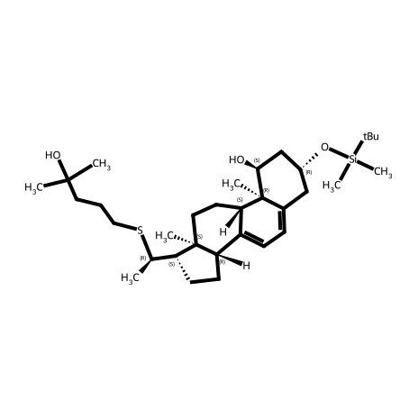 C[C@@H](SCCCC(C)(C)O)[C@H]1CC[C@H]2C3=CC=C4C[C@@H](O[Si](C)(C)C(C)(C)C)C[C@H](O)[C@]4(C)[C@H]3CC[C@]12C